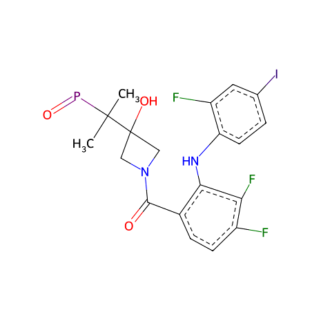 CC(C)(P=O)C1(O)CN(C(=O)c2ccc(F)c(F)c2Nc2ccc(I)cc2F)C1